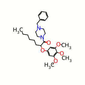 CCCCCCC(Oc1cc(OC)c(OC)c(OC)c1)C(=O)N1CCN(Cc2ccccc2)CC1